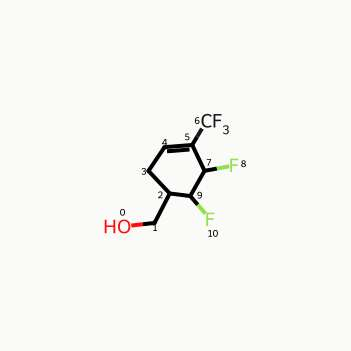 OCC1CC=C(C(F)(F)F)C(F)C1F